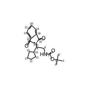 CC(C)(C)OC(=O)NCC(C1CCCC1)N1C(=O)c2ccccc2C1=O